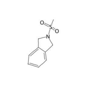 CS(=O)(=O)N1Cc2ccccc2C1